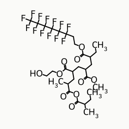 CCC(C)C(=O)OC(=O)C(C)CC(CC(CC(CC)C(=O)OCCC(F)(F)C(F)(F)C(F)(F)C(F)(F)C(F)(F)C(F)(F)F)C(=O)OC)C(=O)OCCO